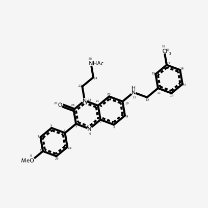 COc1ccc(-c2nc3ccc(NCc4cccc(C(F)(F)F)c4)cc3n(CCNC(C)=O)c2=O)cc1